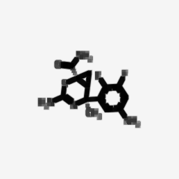 C[C@]1(c2cc(N)cc(F)c2F)N=C(N)S[C@@]2(C(N)=O)CC21